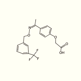 CC(=NOCc1cccc(C(F)(F)F)c1)c1ccc(OCC(=O)O)cc1